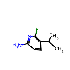 CC(C)c1ccc(N)nc1F